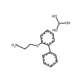 NCCOc1ccccc1-c1ccccc1.OB(O)O